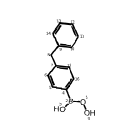 OOB(O)c1ccc(Cc2ccccc2)cc1